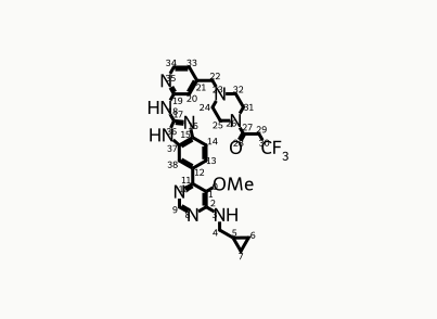 COc1c(NCC2CC2)ncnc1-c1ccc2nc(Nc3cc(CN4CCN(C(=O)CC(F)(F)F)CC4)ccn3)[nH]c2c1